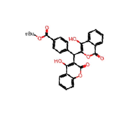 CCCCOC(=O)c1ccc(C(c2oc(=O)c3ccccc3c2O)c2c(O)c3ccccc3oc2=O)cc1